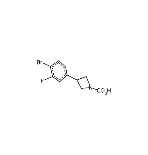 O=C(O)N1CC(c2ccc(Br)c(F)c2)C1